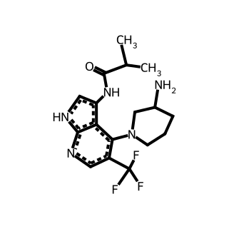 CC(C)C(=O)Nc1c[nH]c2ncc(C(F)(F)F)c(N3CCCC(N)C3)c12